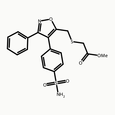 COC(=O)CSCc1onc(-c2ccccc2)c1-c1ccc(S(N)(=O)=O)cc1